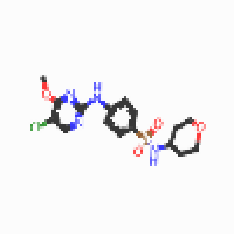 COc1nc(Nc2ccc(S(=O)(=O)NC3CCOCC3)cc2)ncc1Cl